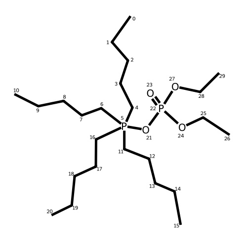 CCCCCP(CCCCC)(CCCCC)(CCCCC)OP(=O)(OCC)OCC